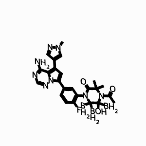 BC1(B)N(c2cc(-c3cc(-c4cnn(C)c4)c4c(N)ncnn34)ccc2F)C(=O)C(C)(C)N(C(C)=O)C1(B)O